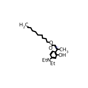 C=CCCCCCCCCOC(=O)/C=C(/C)c1ccc(N(CC)CC)cc1O